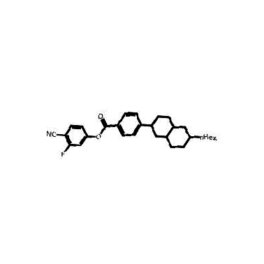 CCCCCCC1CCC2CC(c3ccc(C(=O)Oc4ccc(C#N)c(F)c4)cc3)CCC2C1